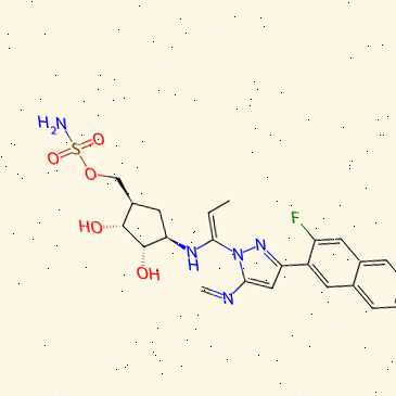 C=Nc1cc(-c2cc3ccccc3cc2F)nn1/C(=C\C)N[C@@H]1C[C@H](COS(N)(=O)=O)[C@@H](O)[C@H]1O